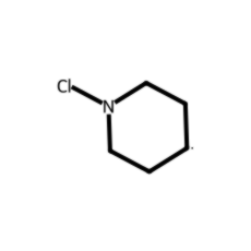 ClN1CC[CH]CC1